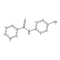 N#Cc1ccc(NC(=O)c2cccnc2)cc1